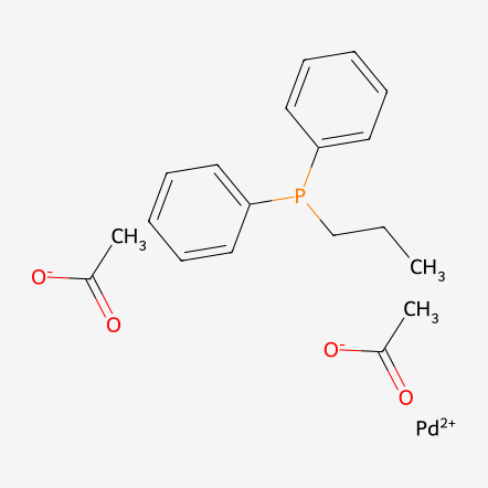 CC(=O)[O-].CC(=O)[O-].CCCP(c1ccccc1)c1ccccc1.[Pd+2]